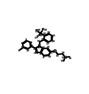 Cc1cccc(-c2nc3ccc(OCCN(C)C)cc3n2Cc2ccccc2C(F)(F)F)c1